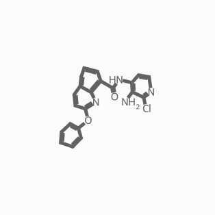 Nc1c(NC(=O)c2cccc3ccc(Oc4ccccc4)nc23)ccnc1Cl